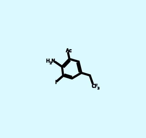 CC(=O)c1cc(CC(F)(F)F)cc(I)c1N